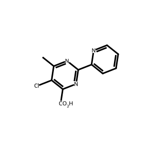 Cc1nc(-c2ccccn2)nc(C(=O)O)c1Cl